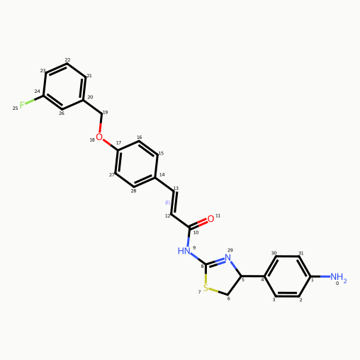 Nc1ccc(C2CSC(NC(=O)/C=C/c3ccc(OCc4cccc(F)c4)cc3)=N2)cc1